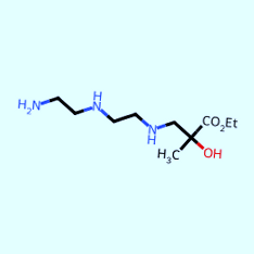 CCOC(=O)C(C)(O)CNCCNCCN